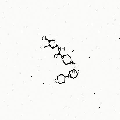 O=C(Nc1ccc(Cl)c(Cl)c1)N1CCN(C[C@H]2CN(C3CCOCC3)CCO2)CC1